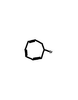 BrC1\C=C/C=C\C=C/C1